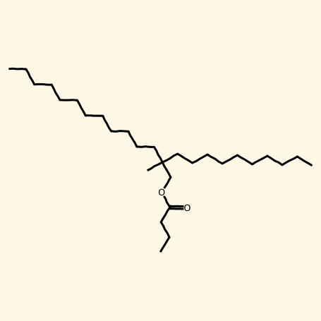 CCCCCCCCCCCCC(C)(CCCCCCCCCC)COC(=O)CCC